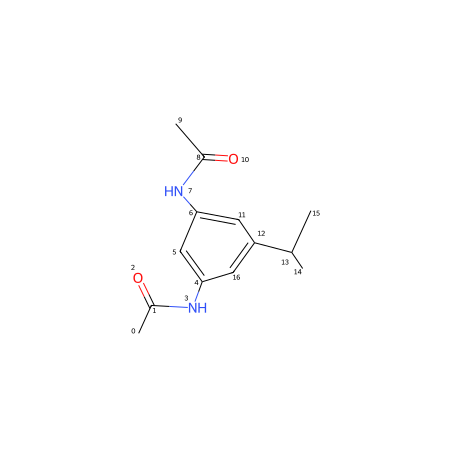 CC(=O)Nc1cc(NC(C)=O)cc(C(C)C)c1